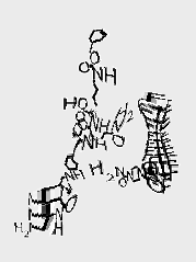 NC(=O)CC[C@H](NC(=O)c1ccc(NCc2cnc3nc(N)[nH]c(=O)c3n2)cc1)C(=O)N[C@@H](CCCCNC(=O)OCc1ccccc1)C(=O)O.NC(=O)N1CCN(S(=O)(=O)C(F)(F)C(F)(F)C(F)(F)C(F)(F)C(F)(F)C(F)(F)C(F)(F)C(F)(F)F)CC1